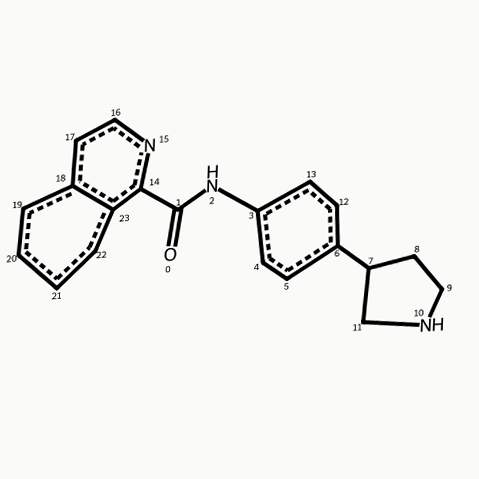 O=C(Nc1ccc(C2CCNC2)cc1)c1nccc2ccccc12